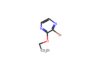 CCOC(=O)COc1nccnc1Br